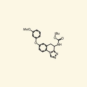 COc1cccc(Oc2ccc3c(c2)CC(NC(=O)OC(C)(C)C)c2nncn2-3)c1